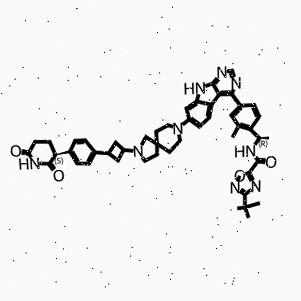 Cc1cc(-c2ncnc3[nH]c4cc(N5CCC6(CC5)CCN(C5CC(c7ccc([C@@H]8CCC(=O)NC8=O)cc7)C5)C6)ccc4c23)ccc1[C@@H](C)NC(=O)c1nc(C(C)(C)C)no1